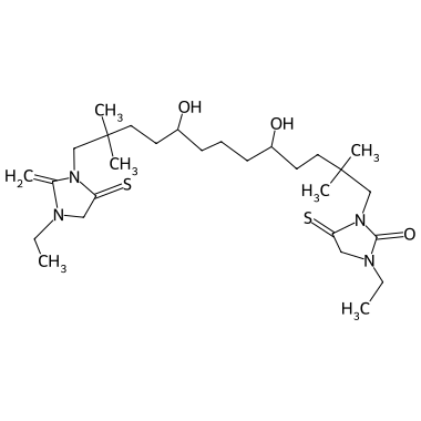 C=C1N(CC)CC(=S)N1CC(C)(C)CCC(O)CCCC(O)CCC(C)(C)CN1C(=O)N(CC)CC1=S